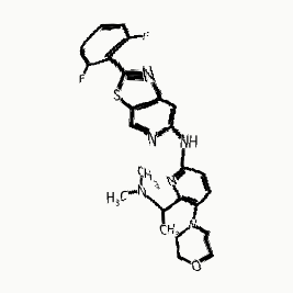 CC(c1nc(Nc2cc3nc(-c4c(F)cccc4F)sc3cn2)ccc1N1CCOCC1)N(C)C